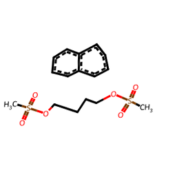 CS(=O)(=O)OCCCCOS(C)(=O)=O.c1ccc2ccccc2c1